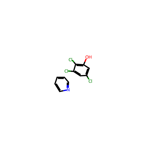 Oc1cc(Cl)cc(Cl)c1Cl.c1ccncc1